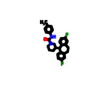 Cc1ccc(NC(=O)N2CCCC(C3c4ccc(F)cc4CCc4cc(F)ccc43)C2)cc1